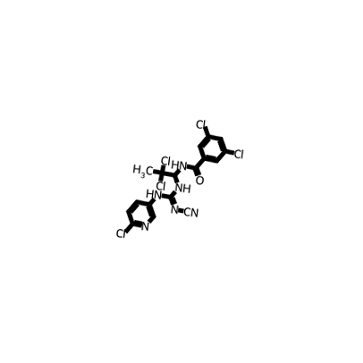 CC(Cl)(Cl)C(NC(=O)c1cc(Cl)cc(Cl)c1)N/C(=N\C#N)Nc1ccc(Cl)nc1